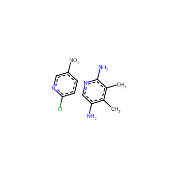 Cc1c(N)cnc(N)c1C.O=[N+]([O-])c1ccc(Cl)nc1